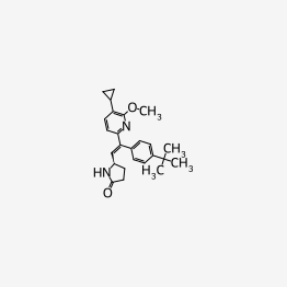 COc1nc(C(=C[C@H]2CCC(=O)N2)c2ccc(C(C)(C)C)cc2)ccc1C1CC1